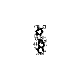 O=C(Nc1cc(Cl)c(Cl)cc1F)N1[C@@H]2CC[C@H]1c1c(F)cncc1C2